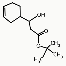 CC(C)(C)OC(=O)CC(O)C1CC=CCC1